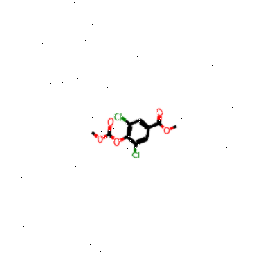 COC(=O)Oc1c(Cl)cc(C(=O)OC)cc1Cl